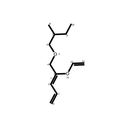 C=C/C=C(/COCC(C)CC)OC=C